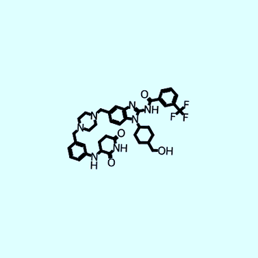 O=C1CCC(Nc2cccc(CN3CCN(Cc4ccc5c(c4)nc(NC(=O)c4cccc(C(F)(F)F)c4)n5C4CCC(CO)CC4)CC3)c2)C(=O)N1